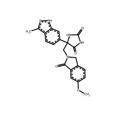 COc1ccc2c(c1)C(=O)N(CC1(c3ccc4c(C)n[nH]c4c3)NC(=O)NC1=O)C2